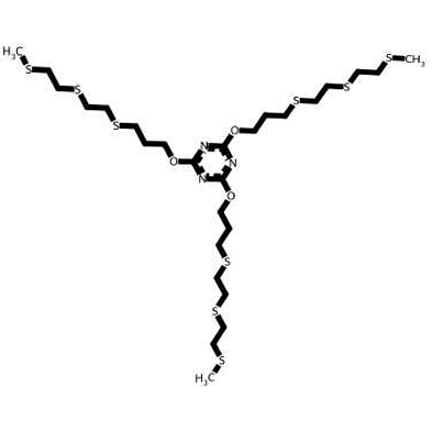 CSCCSCCSCCCOc1nc(OCCCSCCSCCSC)nc(OCCCSCCSCCSC)n1